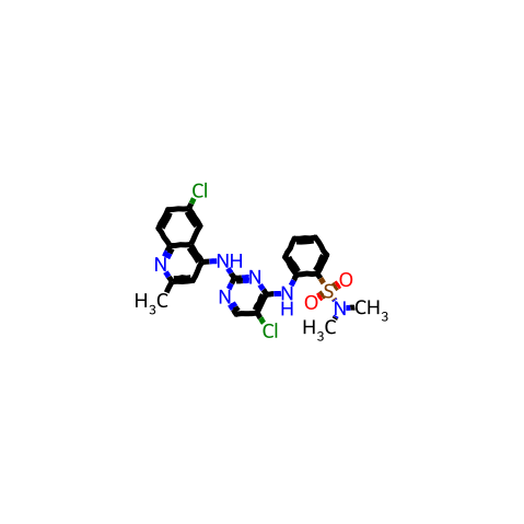 Cc1cc(Nc2ncc(Cl)c(Nc3ccccc3S(=O)(=O)N(C)C)n2)c2cc(Cl)ccc2n1